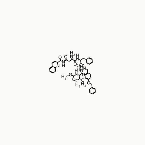 COC(=O)N[C@H](C(=O)NN(Cc1ccc(OCc2ccccc2)cc1)CC(O)C(Cc1ccccc1)NC(=O)[C@@H](N)CC(=O)NC(=O)c1ccc2ccccc2n1)C(C)C